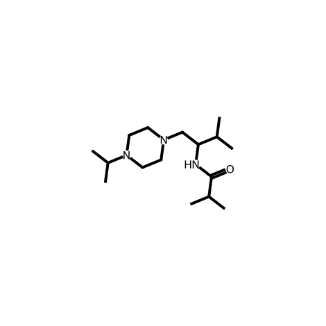 CC(C)C(=O)NC(CN1CCN(C(C)C)CC1)C(C)C